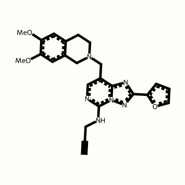 C#CCNc1ncc(CN2CCc3cc(OC)c(OC)cc3C2)c2nc(-c3ccco3)nn12